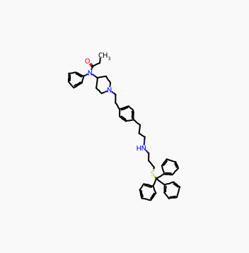 CCC(=O)N(c1ccccc1)C1CCN(CCc2ccc(CCCNCCCSC(c3ccccc3)(c3ccccc3)c3ccccc3)cc2)CC1